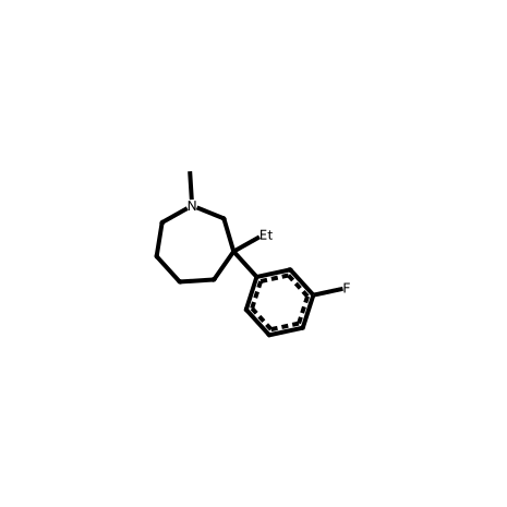 CCC1(c2cccc(F)c2)CCCCN(C)C1